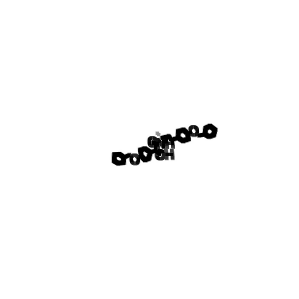 C[C@H](CCc1ccc(OCc2ccccc2)cc1)NC(=O)C(O)c1ccc(OCc2ccccc2)cc1